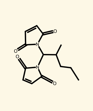 CCCC(C)C(N1C(=O)C=CC1=O)N1C(=O)C=CC1=O